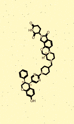 O=C1CCC(N2Cc3c(ccc4c3OC[C@@H]3CN(CC5CCN(c6ncc([C@H]7c8ccc(O)cc8OC[C@H]7c7ccccc7)cn6)CC5)CCN43)C2=O)C(=O)N1